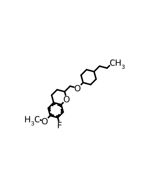 CCCC1CCC(OCC2CCc3cc(OC)c(F)cc3O2)CC1